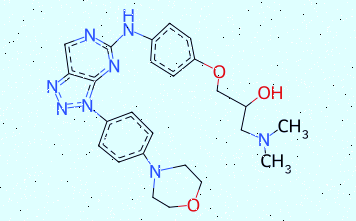 CN(C)CC(O)COc1ccc(Nc2ncc3nnn(-c4ccc(N5CCOCC5)cc4)c3n2)cc1